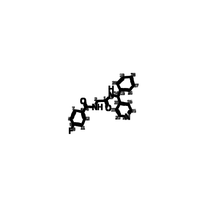 O=C(CNC(=O)c1ccc(F)cc1)NC(c1ccccc1)c1ccncc1